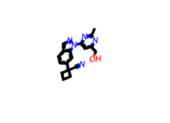 Cc1nc(CO)cc(-n2ncc3ccc(C4(C#N)CCC4)cc32)n1